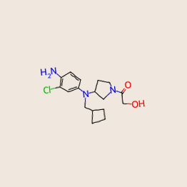 Nc1ccc(N(CC2CCC2)C2CCN(C(=O)CO)C2)cc1Cl